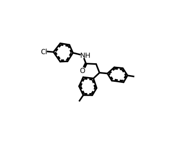 Cc1ccc(C(CC(=O)Nc2ccc(Cl)cc2)c2ccc(C)cc2)cc1